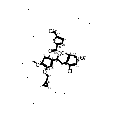 COc1ccc(C(Cc2c(Cl)c[n+]([O-])cc2Cl)OC(=O)c2ccc(C=O)s2)cc1OCC1CC1